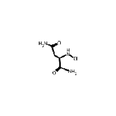 NC(=O)CC(NCl)C(N)=O